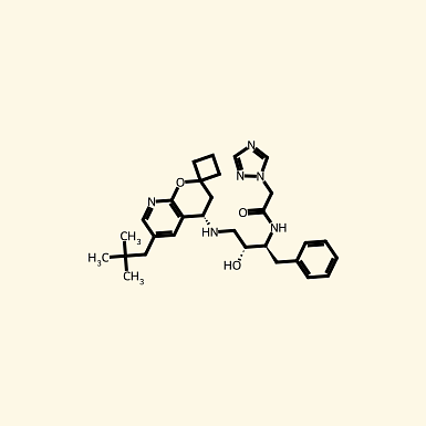 CC(C)(C)Cc1cnc2c(c1)[C@@H](NC[C@@H](O)[C@H](Cc1ccccc1)NC(=O)Cn1cncn1)CC1(CCC1)O2